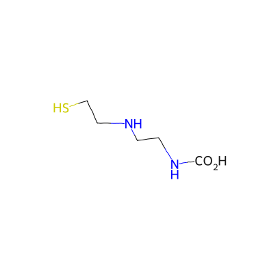 O=C(O)NCCNCCS